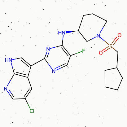 O=S(=O)(CC1CCCC1)N1CCC[C@H](Nc2nc(-c3c[nH]c4ncc(Cl)cc34)ncc2F)C1